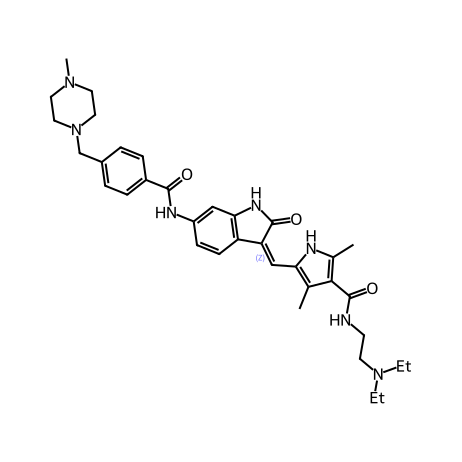 CCN(CC)CCNC(=O)c1c(C)[nH]c(/C=C2\C(=O)Nc3cc(NC(=O)c4ccc(CN5CCN(C)CC5)cc4)ccc32)c1C